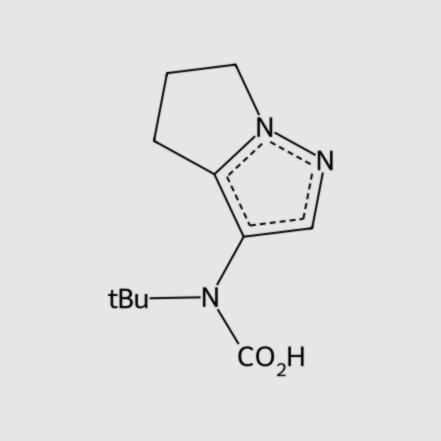 CC(C)(C)N(C(=O)O)c1cnn2c1CCC2